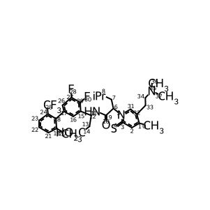 Cc1cc(=S)n(C(CC(C)C)C(=O)NC(CC(=O)O)c2cc(-c3c(C)cccc3C(F)(F)F)cc(F)c2F)cc1CCN(C)C